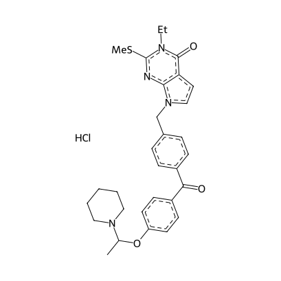 CCn1c(SC)nc2c(ccn2Cc2ccc(C(=O)c3ccc(OC(C)N4CCCCC4)cc3)cc2)c1=O.Cl